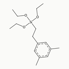 CCO[Si](CCc1cc(C)cc(C)c1)(OCC)OCC